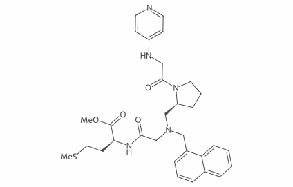 COC(=O)[C@H](CCSC)NC(=O)CN(Cc1cccc2ccccc12)C[C@@H]1CCCN1C(=O)CNc1ccncc1